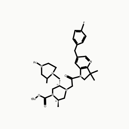 CC(=O)N1CCN(C[C@H]2CN(C(=O)OC(C)(C)C)[C@H](C)CN2CC(=O)N2CC(C)(C)c3ncc(Cc4ccc(F)cc4)cc32)C(C)C1